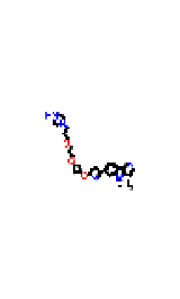 Cn1c2ccncc2c2ccc(-c3ccc(O[C@H]4C[C@H](OCCCOCCCN5CCNCC5)C4)nc3)cc21